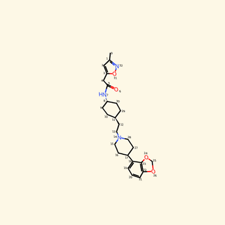 Cc1cc(CC(=O)N[C@H]2CC[C@H](CCN3CCC(c4cccc5c4OCO5)CC3)CC2)on1